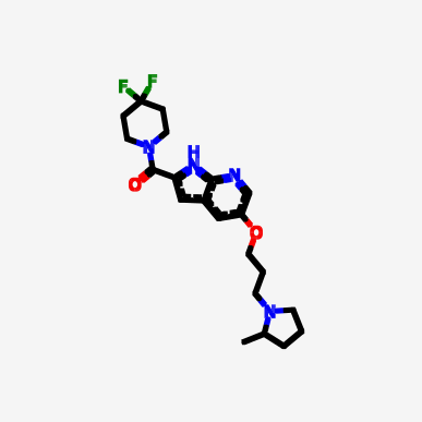 CC1CCCN1CCCOc1cnc2[nH]c(C(=O)N3CCC(F)(F)CC3)cc2c1